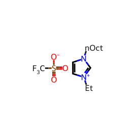 CCCCCCCCn1cc[n+](CC)c1.O=S(=O)([O-])C(F)(F)F